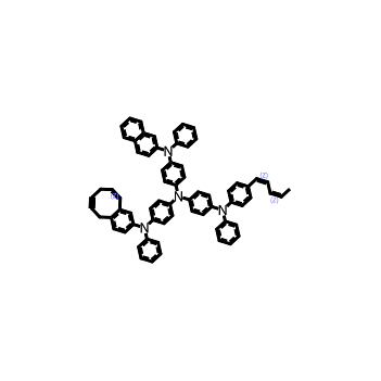 C/C=C\C=C/c1ccc(N(c2ccccc2)c2ccc(N(c3ccc(N(c4ccccc4)c4ccc5c(c4)/C=C\CC#CC5)cc3)c3ccc(N(c4ccccc4)c4ccc5ccccc5c4)cc3)cc2)cc1